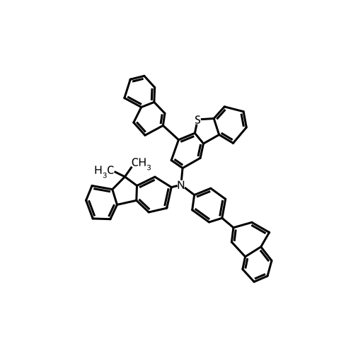 CC1(C)c2ccccc2-c2ccc(N(c3ccc(-c4ccc5ccccc5c4)cc3)c3cc(-c4ccc5ccccc5c4)c4sc5ccccc5c4c3)cc21